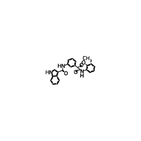 COc1ccccc1NS(=O)(=O)c1cccc(NC(=O)c2c[nH]c3ccccc23)c1